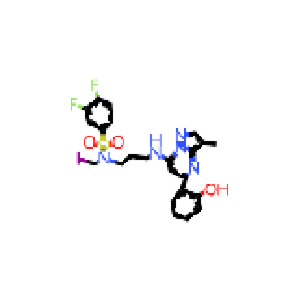 Cc1cnn2c(NCCCN(CI)S(=O)(=O)c3ccc(F)c(F)c3)cc(-c3ccccc3O)nc12